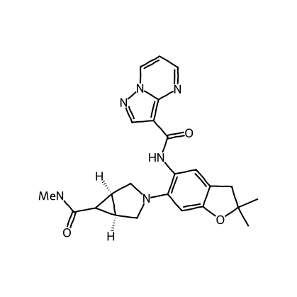 CNC(=O)C1[C@H]2CN(c3cc4c(cc3NC(=O)c3cnn5cccnc35)CC(C)(C)O4)C[C@@H]12